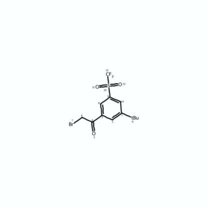 CC(C)(C)c1cc(C(=O)CBr)cc(S(=O)(=O)C(F)(F)F)c1